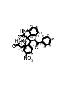 O=C(C[C@@H](c1ccc([N+](=O)[O-])cc1)[C@@]1(n2ccc(=O)[nH]2)C(=O)Nc2ccccc21)c1ccccc1